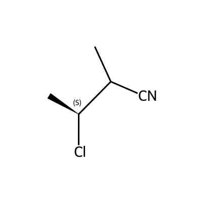 CC(C#N)[C@H](C)Cl